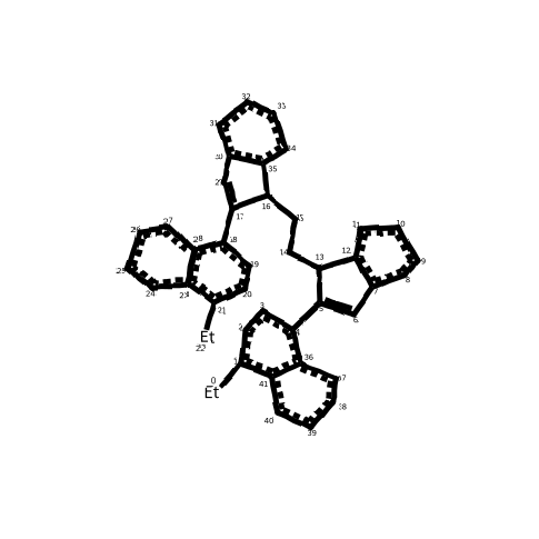 CCc1ccc(C2=Cc3ccccc3[C]2CC[C]2C(c3ccc(CC)c4ccccc34)=Cc3ccccc32)c2ccccc12